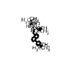 CC(C)(C)OC(=O)NC(=NCCc1cccc2c(-c3ccc(C(C)(C)C)cc3)cccc12)NC(=O)OC(C)(C)C